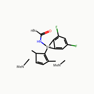 CCCCC(=O)[NH][Ti+2]1([C]2=C(C)C=CC2C)[c]2cc(F)cc(F)[c]21.C[N-]C.C[N-]C